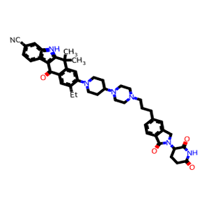 CCc1cc2c(cc1N1CCC(N3CCN(CCCc4ccc5c(c4)CN(C4CCC(=O)NC4=O)C5=O)CC3)CC1)C(C)(C)c1[nH]c3cc(C#N)ccc3c1C2=O